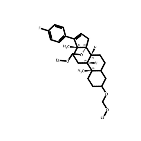 CCOCOC1CC[C@@]2(C)C(CC[C@@H]3[C@H]2CC[C@]2(C)C(c4ccc(F)cc4)=CC[C@@]32OCOCC)C1